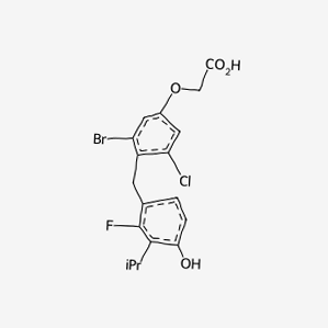 CC(C)c1c(O)ccc(Cc2c(Cl)cc(OCC(=O)O)cc2Br)c1F